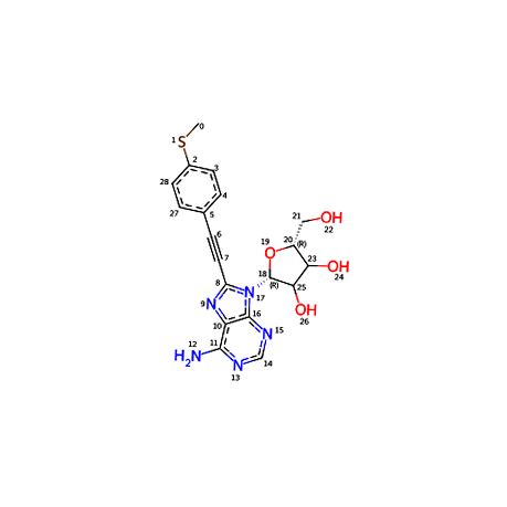 CSc1ccc(C#Cc2nc3c(N)ncnc3n2[C@@H]2O[C@H](CO)C(O)C2O)cc1